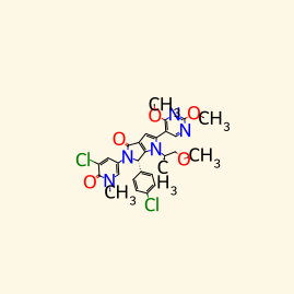 COC[C@@H](C)n1c(-c2cnc(OC)nc2OC)cc2c1[C@H](c1ccc(Cl)cc1)N(c1cc(Cl)c(=O)n(C)c1)C2=O